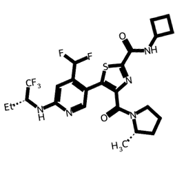 CC[C@@H](Nc1cc(C(F)F)c(-c2sc(C(=O)NC3CCC3)nc2C(=O)N2CCC[C@@H]2C)cn1)C(F)(F)F